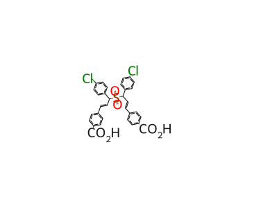 O=C(O)c1ccc(/C=C/C(c2ccc(Cl)cc2)S(=O)(=O)C(/C=C/c2ccc(C(=O)O)cc2)c2ccc(Cl)cc2)cc1